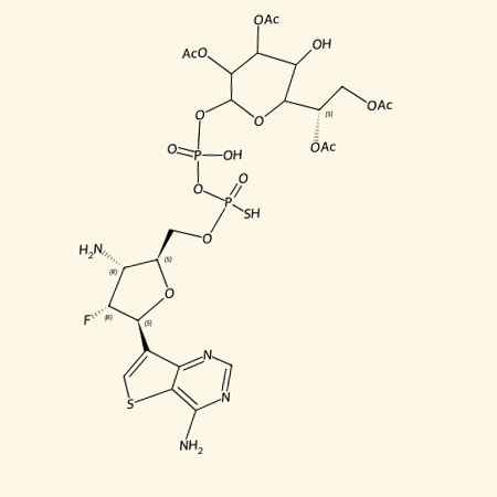 CC(=O)OC[C@H](OC(C)=O)C1OC(OP(=O)(O)OP(=O)(S)OC[C@H]2O[C@@H](c3csc4c(N)ncnc34)[C@H](F)[C@@H]2N)C(OC(C)=O)C(OC(C)=O)C1O